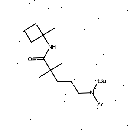 CC(=O)N(CCCC(C)(C)C(=O)NC1(C)CCC1)C(C)(C)C